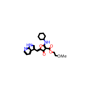 COCCOC(=O)C1=C(NC2CCCCC2)O/C(=C\c2c[nH]c3ncccc23)C1=O